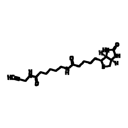 C#CCNC(=O)CCCCCNC(=O)CCCC[C@@H]1SC[C@@H]2NC(=O)N[C@@H]21